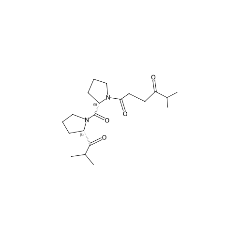 CC(C)C(=O)CCC(=O)N1CCC[C@H]1C(=O)N1CCC[C@H]1C(=O)C(C)C